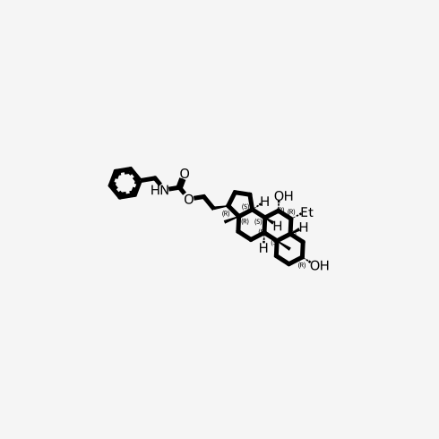 CC[C@H]1[C@@H](O)[C@@H]2[C@H](CC[C@]3(C)[C@@H](CCOC(=O)NCc4ccccc4)CC[C@@H]23)[C@@]2(C)CC[C@@H](O)C[C@@H]12